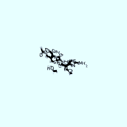 CCO.CO/N=C(/C(=O)N[C@@H]1C(=O)N2C(C(=O)O)=C(COC(C)=O)CS[C@H]12)c1csc(N)n1